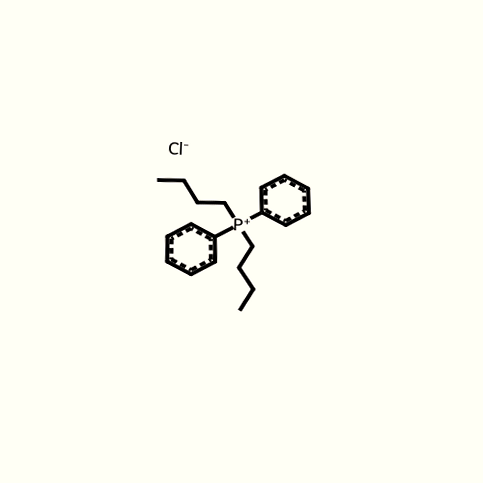 CCCC[P+](CCCC)(c1ccccc1)c1ccccc1.[Cl-]